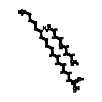 CCCCCCCCCCCCCCCCCC(=O)O.CCCCOCCCC